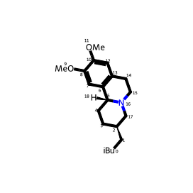 CCC(C)C[C@H]1CC[C@@H]2c3cc(OC)c(OC)cc3CCN2C1